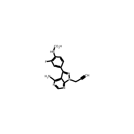 C#CCn1nc(-c2ccc(NC(=O)O)c(F)c2)c2c(N)ncnc21